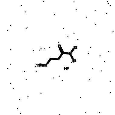 CCCCCCCC(=O)N(CC)CC.F